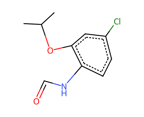 CC(C)Oc1cc(Cl)ccc1NC=O